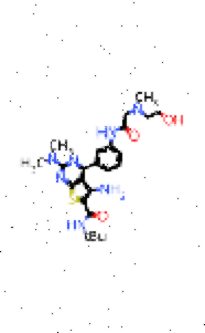 CN(CCO)CC(=O)Nc1cccc(-c2nc(N(C)C)nc3sc(C(=O)NC(C)(C)C)c(N)c23)c1